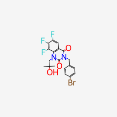 CC(C)(O)Cn1c(=O)n(Cc2ccc(Br)cc2)c(=O)c2cc(F)c(F)c(F)c21